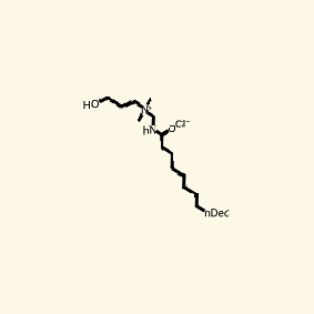 CCCCCCCCCCCCCCCCCC(=O)NC[N+](C)(C)CCCO.[Cl-]